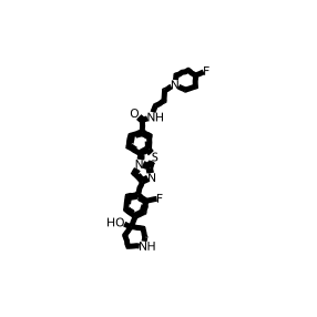 O=C(NCCCN1CCC(F)CC1)c1ccc2c(c1)sc1nc(-c3ccc(C4(O)CCNCC4)cc3F)cn12